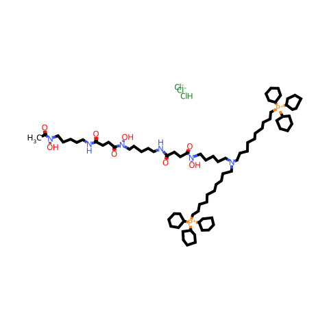 CC(=O)N(O)CCCCCNC(=O)CCC(=O)N(O)CCCCCNC(=O)CCC(=O)N(O)CCCCCN(CCCCCCCCCC[P+](C1CCCCC1)(C1CCCCC1)C1CCCCC1)CCCCCCCCCC[P+](C1CCCCC1)(C1CCCCC1)C1CCCCC1.Cl.[Cl-].[Cl-]